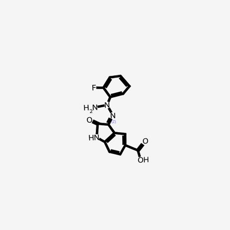 NN(/N=C1\C(=O)Nc2ccc(C(=O)O)cc21)c1ccccc1F